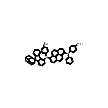 CC(C)(C)c1ccc(N(c2ccccc2)c2ccc3ccc4c(N(c5ccc(C(C)(C)C)cc5)c5cccc6c5-c5ccccc5C65C6CC7CC(C6)CC5C7)ccc5ccc2c3c54)cc1